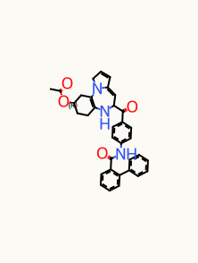 CC(=O)O[C@@H]1CCC2=C(C1)N1CC=CC1=CC(C(=O)c1ccc(NC(=O)c3ccccc3-c3ccccc3)cc1)N2